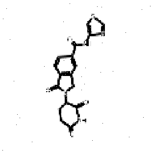 O=C1CCC(N2Cc3cc(C(=O)Nc4cscn4)ccc3C2=O)C(=O)N1